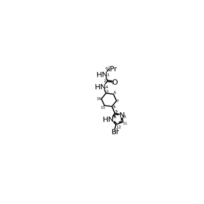 CC(C)NC(=O)NC1CCC(c2ncc(Br)[nH]2)CC1